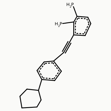 Pc1cccc(C#Cc2ccc(C3CCCCC3)cc2)c1P